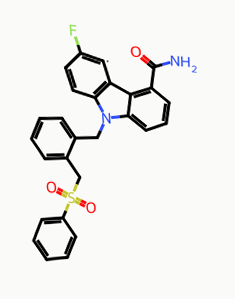 NC(=O)c1cccc2c1c1[c]c(F)ccc1n2Cc1ccccc1CS(=O)(=O)c1ccccc1